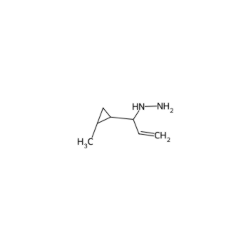 C=CC(NN)C1CC1C